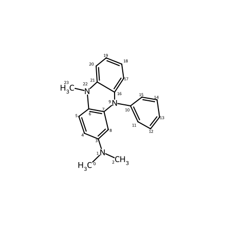 CN(C)c1ccc2c(c1)N(c1ccccc1)c1ccccc1N2C